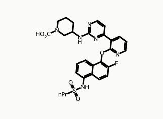 CCCS(=O)(=O)Nc1cccc2c(Oc3ncccc3-c3ccnc(NC4CCCN(C(=O)O)C4)n3)c(F)ccc12